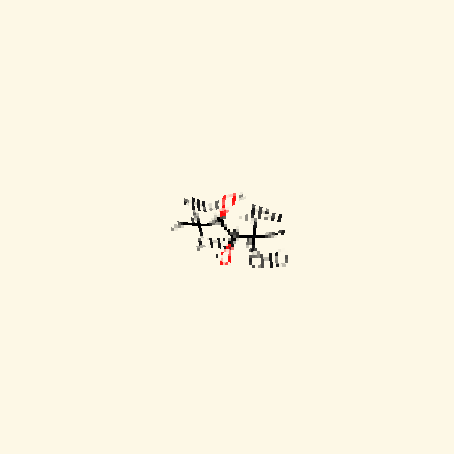 CC(C)(C)C(C)(C=O)C(=O)C(=O)C(C)(C=O)C(C)(C)C